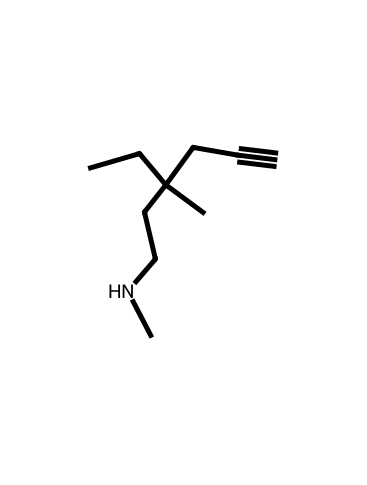 C#CCC(C)(CC)CCNC